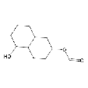 O=COC1CCC2C(O)CCCC2C1